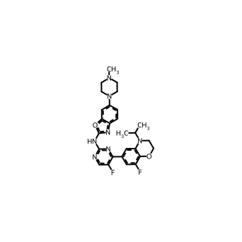 CC(C)N1CCOc2c(F)cc(-c3nc(Nc4nc5ccc(N6CCN(C)CC6)cc5o4)ncc3F)cc21